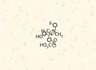 C[C@@H]1CN(C(c2cccc(O)c2)c2cccc(C(=O)N3CCCC3C(=O)O)c2)[C@H](C)CN1Cc1cccc(F)c1